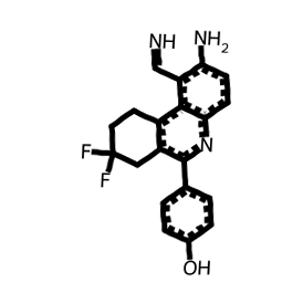 N=Cc1c(N)ccc2nc(-c3ccc(O)cc3)c3c(c12)CCC(F)(F)C3